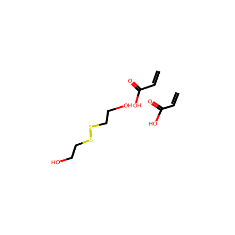 C=CC(=O)O.C=CC(=O)O.OCCSSCCO